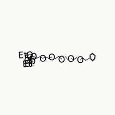 CCO[Si](OCC)(OCC)OCCOCCOCCOCCOCCOCCc1ccccc1